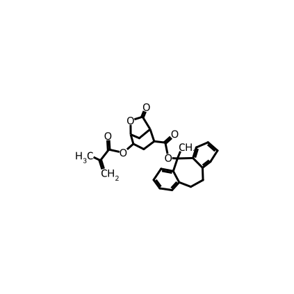 C=C(C)C(=O)OC1CC(C(=O)OC2(C)c3ccccc3CCc3ccccc32)C2CC1OC2=O